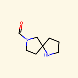 O=CN1CCC2(CCCN2)C1